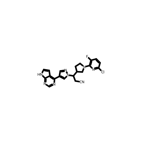 N#CCC(C1CCN(c2nc(Cl)ccc2F)C1)n1cc(-c2ncnc3[nH]ccc23)cn1